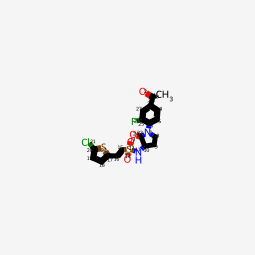 CC(=O)c1ccc(N2CCC(NS(=O)(=O)/C=C/c3ccc(Cl)s3)C2=O)c(F)c1